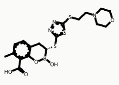 Cc1ccc2c(c1C(=O)O)OB(O)[C@@H](Sc1nnc(SCCN3CCOCC3)s1)C2